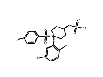 O=S(=O)(CC1CCC(c2cc(F)ccc2F)(S(=O)(=O)c2ccc(Cl)cc2)CC1)C(F)(F)F